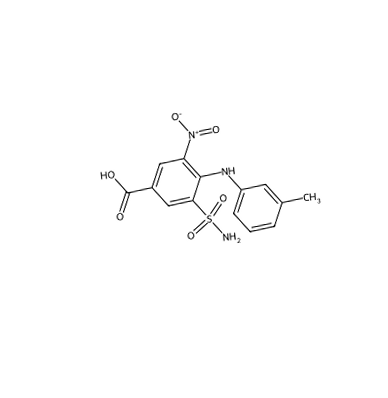 Cc1cccc(Nc2c([N+](=O)[O-])cc(C(=O)O)cc2S(N)(=O)=O)c1